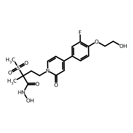 CC(CCn1ccc(-c2ccc(OCCO)c(F)c2)cc1=O)(C(=O)NO)S(C)(=O)=O